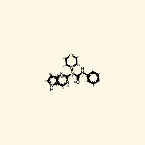 O=C(Nc1ccccc1)N(c1ncc2[nH]ccc2n1)N1CCOCC1